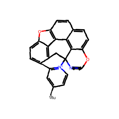 CC(C)(C)c1cc[n+]2c(c1)-c1ccc3oc4ccc5ccc6c7c5c4c3c1CC72[n+]1ccccc1O6